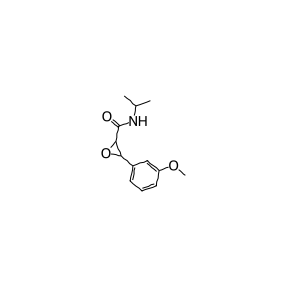 COc1cccc(C2OC2C(=O)NC(C)C)c1